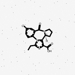 CCc1nc(C(=O)O)c2n1-c1ccc(Cl)cc1C(=O)N1CCC[C@@H]21